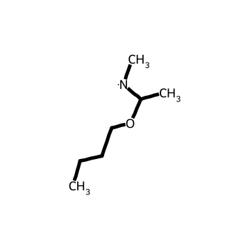 CCCCOC(C)[N]C